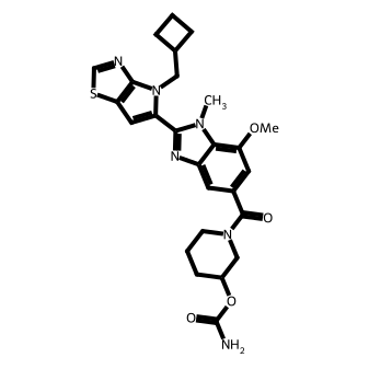 COc1cc(C(=O)N2CCCC(OC(N)=O)C2)cc2nc(-c3cc4scnc4n3CC3CCC3)n(C)c12